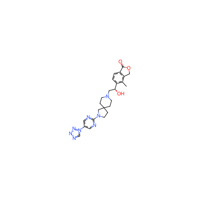 Cc1c([C@@H](O)CN2CCC3(CC2)CCN(c2ncc(-n4cnnn4)cn2)C3)ccc2c1COC2=O